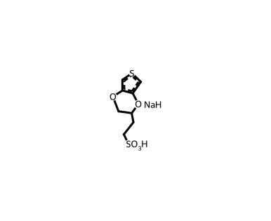 O=S(=O)(O)CCC1COc2cscc2O1.[NaH]